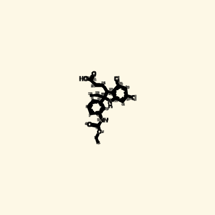 CCOC(=O)Nc1cccc(C2(CC)Nc3cc(Cl)cc(Cl)c3C2C=CC(=O)O)c1